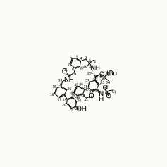 CC(C)(Cc1cccc(CC(=O)NCc2cccc(-c3ccc(O)cc3)c2)c1)NC[C@H](O[Si](C)(C)C(C)(C)C)c1ccc(OCc2ccccc2)c(NS(C)(=O)=O)c1